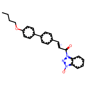 CCCCOc1ccc(-c2ccc(/C=C/C(=O)n3n[n+]([O-])c4ccccc43)cc2)cc1